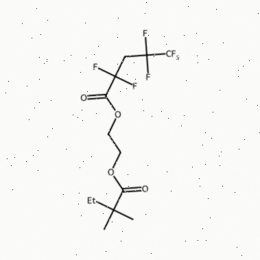 CCC(C)(C)C(=O)OCCOC(=O)C(F)(F)CC(F)(F)C(F)(F)F